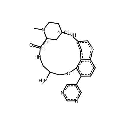 CN1CC[C@H]2C[C@H]1C(=O)NCC(P)COc1c(-c3cncnc3)ccc3ncc(cc13)N2